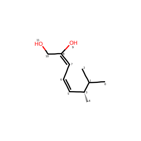 CC(C)[C@H](C)/C=C\C=C(\O)CO